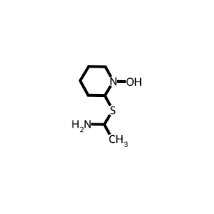 CC(N)SC1CCCCN1O